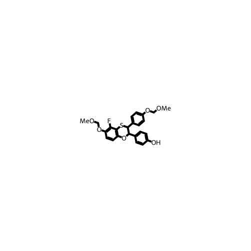 COCOc1ccc(C2Sc3c(ccc(OCOC)c3F)OC2c2ccc(O)cc2)cc1